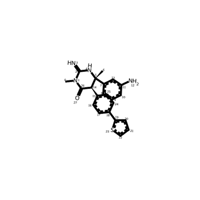 CN1C(=N)N[C@](C)(c2cccc(N)c2)[C@@H](c2ccc(-c3cccs3)cc2)C1=O